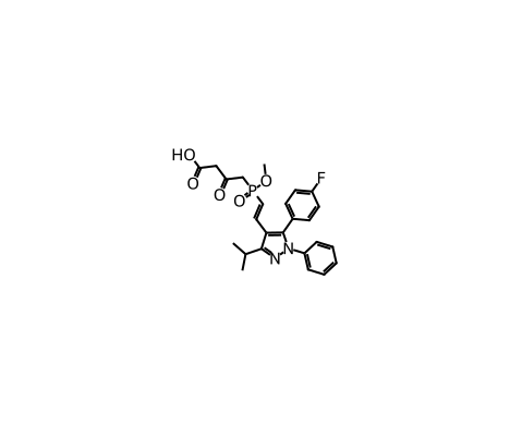 COP(=O)(C=Cc1c(C(C)C)nn(-c2ccccc2)c1-c1ccc(F)cc1)CC(=O)CC(=O)O